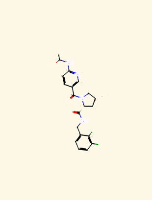 CC(O)Nc1ccc(C(=O)N2C[C@H](F)C[C@H]2C(=O)NCc2cccc(Cl)c2F)cn1